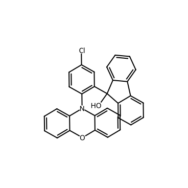 OC1(c2cc(Cl)ccc2N2c3ccccc3Oc3ccccc32)c2ccccc2-c2ccccc21